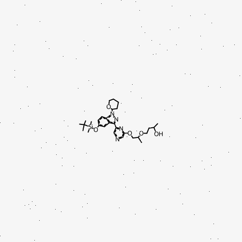 CC(O)CCOC(C)COc1cncc(-c2nn(C3CCCCO3)c3ccc(O[Si](C)(C)C(C)(C)C)cc23)n1